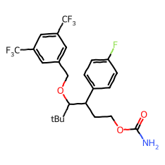 CC(C)(C)C(OCc1cc(C(F)(F)F)cc(C(F)(F)F)c1)C(CCOC(N)=O)c1ccc(F)cc1